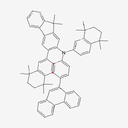 CC1(C)CCC(C)(C)c2cc(-c3cc4c(cc3N(c3ccc(-c5cc6ccccc6c6ccccc56)cc3)c3ccc5c(c3)C(C)(C)CCC5(C)C)C(C)(C)c3ccccc3-4)ccc21